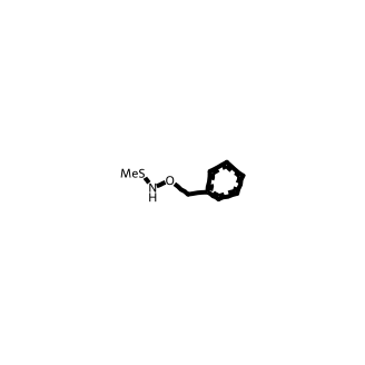 CSNOCc1ccccc1